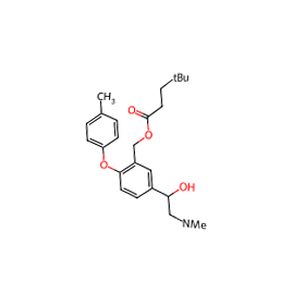 CNCC(O)c1ccc(Oc2ccc(C)cc2)c(COC(=O)CCC(C)(C)C)c1